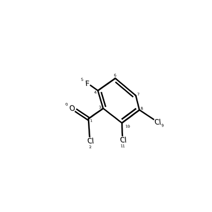 O=C(Cl)c1c(F)ccc(Cl)c1Cl